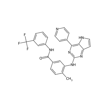 Cc1ccc(C(=O)Nc2cccc(C(F)(F)F)c2)cc1Nc1nc(-c2ccncc2)c2[nH]ccc2n1